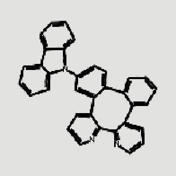 c1ccc2c(c1)-c1ccc(-n3c4ccccc4c4ccccc43)cc1-c1cccnc1-c1ncccc1-2